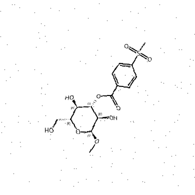 CO[C@H]1O[C@H](CO)[C@@H](O)[C@H](OC(=O)c2ccc(S(C)(=O)=O)cc2)[C@H]1O